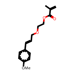 C=C(C)C(=O)OCCOCC=Cc1ccc(OC)cc1